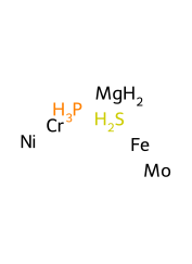 P.S.[Cr].[Fe].[MgH2].[Mo].[Ni]